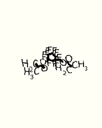 C=C(C)C(=O)OCC1(F)C(F)(F)C(F)(F)C(F)(F)C(F)(COC(=O)C(=C)C)C1(F)F